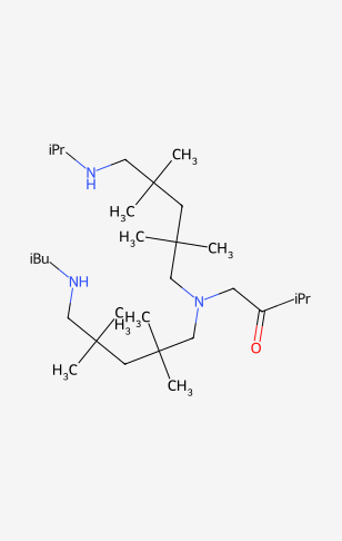 CCC(C)NCC(C)(C)CC(C)(C)CN(CC(=O)C(C)C)CC(C)(C)CC(C)(C)CNC(C)C